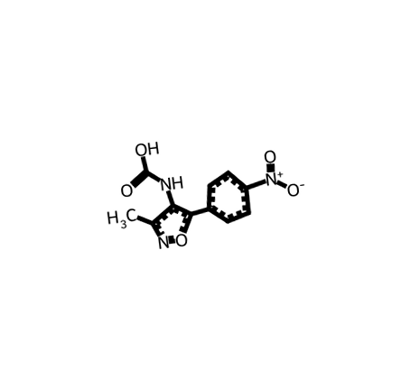 Cc1noc(-c2ccc([N+](=O)[O-])cc2)c1NC(=O)O